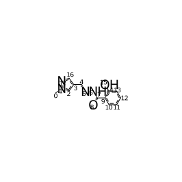 Cn1cc(C=NNC(=O)c2ccccc2O)cn1